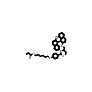 C=CC(=O)OCCCCCCOc1ccc(C(=O)OC(CC)COc2ccc3ccccc3c2-c2c(O)ccc3ccccc23)cc1